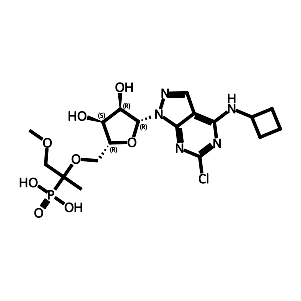 COCC(C)(OC[C@H]1O[C@@H](n2ncc3c(NC4CCC4)nc(Cl)nc32)[C@H](O)[C@@H]1O)P(=O)(O)O